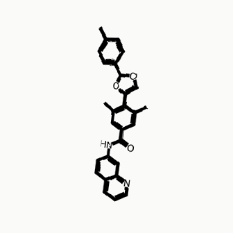 Cc1ccc(C2OC=C(c3c(C)cc(C(=O)Nc4ccc5cccnc5c4)cc3C)O2)cc1